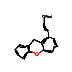 CCCCCC#Cc1cccc2c1Cc1ccccc1O2